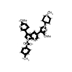 COc1ccc(-c2cn(S(=O)(=O)c3ccc(C)cc3)c3ncc(-c4cn(C5CCN(C)CC5)nc4OC)cc23)cn1